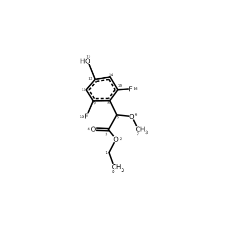 CCOC(=O)C(OC)c1c(F)cc(O)cc1F